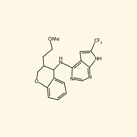 COCCC1COc2ccccc2C1Nc1ncnc2[nH]c(C(F)(F)F)cc12